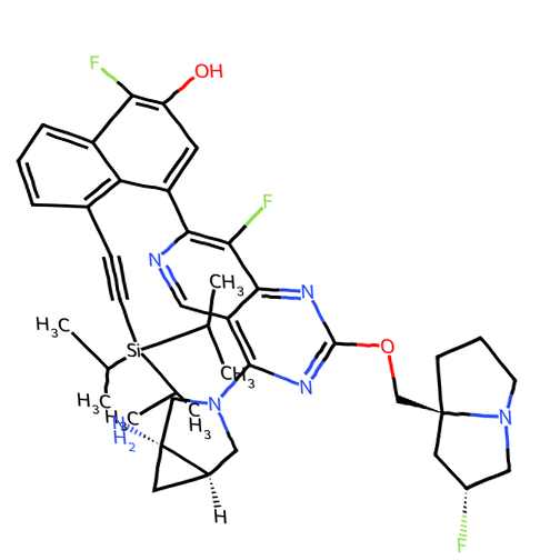 CC(C)[Si](C#Cc1cccc2c(F)c(O)cc(-c3ncc4c(N5C[C@H]6C[C@@]6(N)C5)nc(OC[C@@]56CCCN5C[C@H](F)C6)nc4c3F)c12)(C(C)C)C(C)C